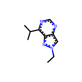 CCn1cc2ncnc(C(C)C)c2n1